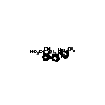 Cc1c(-c2cccc(Nc3nccc(C(F)(F)F)n3)c2)cccc1C(C)C(=O)O